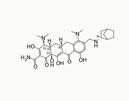 CN(C)c1c(CN[C@@H]2CC3CCC2C3)cc(O)c2c1C[C@H]1C[C@H]3[C@H](N(C)C)C(O)=C(C(N)=O)C(=O)[C@@]3(O)C(O)=C1C2=O